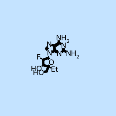 CC[C@]1(CO)O[C@@H](n2cnc3c(N)nc(N)nc32)[C@H](F)[C@@H]1O